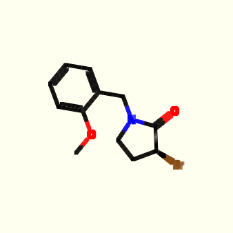 COc1ccccc1CN1CC[C@H](Br)C1=O